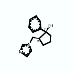 O[C@@]1(c2ccccc2)CCC[C@H]1Cn1ccnc1